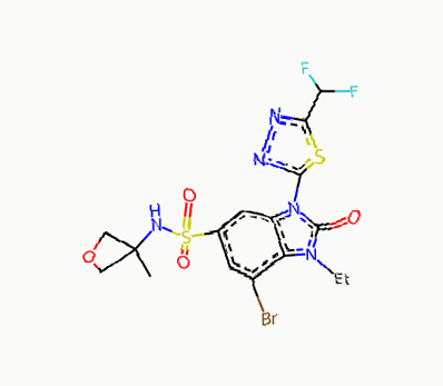 CCn1c(=O)n(-c2nnc(C(F)F)s2)c2cc(S(=O)(=O)NC3(C)COC3)cc(Br)c21